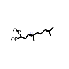 CC(C)=CCC/C(C)=C/CC(P=O)P=O